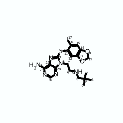 CC(C)(C)CNCCn1c(Sc2cc3c(cc2I)OCO3)nc2c(N)ncnc21